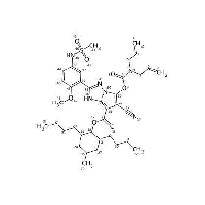 C=CCN(CC=C)C(=O)Oc1c(C#N)c(C(=O)OC2C(CCCC)CC(C)CC2CCCC)c2[nH]c(-c3cc(NS(C)(=O)=O)ccc3OC)nn12